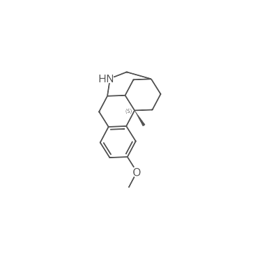 COc1ccc2c(c1)[C@@]1(C)CCC3CNC(C2)C1C3